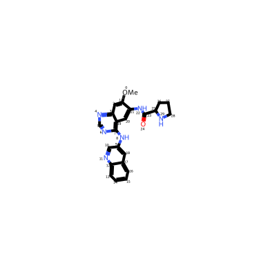 COc1cc2ncnc(Nc3cnc4ccccc4c3)c2cc1NC(=O)C1CCCN1